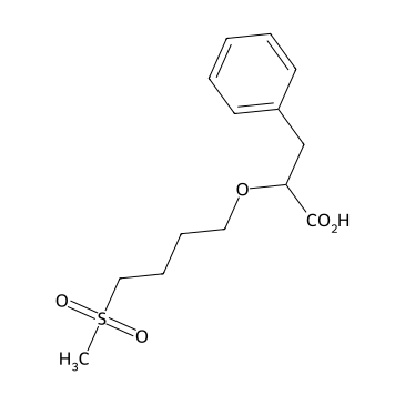 CS(=O)(=O)CCCCOC(Cc1ccccc1)C(=O)O